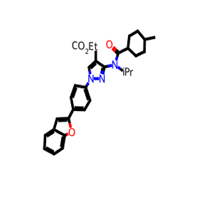 CCOC(=O)c1cn(-c2ccc(-c3cc4ccccc4o3)cc2)nc1N(C(=O)C1CCC(C)CC1)C(C)C